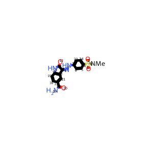 CNS(=O)(=O)c1ccc(N/N=C2\C(=O)Nc3ccc(C(N)=O)cc32)cc1